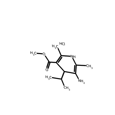 COC(=O)C1=C(C)NC(C)=C(N)C1C(C)C.Cl